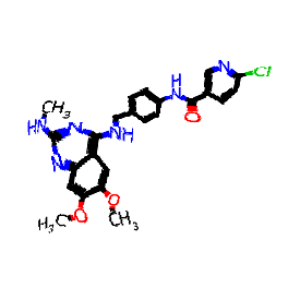 CNc1nc(NCc2ccc(NC(=O)c3ccc(Cl)nc3)cc2)c2cc(OC)c(OC)cc2n1